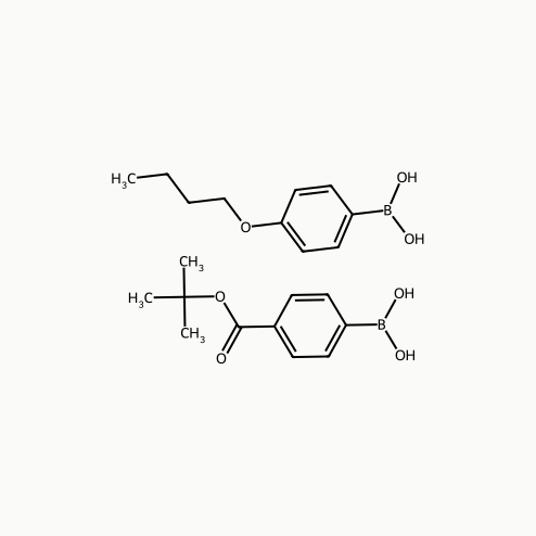 CC(C)(C)OC(=O)c1ccc(B(O)O)cc1.CCCCOc1ccc(B(O)O)cc1